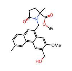 COc1cc2c(CN3C(=O)CCC3(C)C(=O)OC(C)C)cc3ccc(C)cc3c2cc1CO